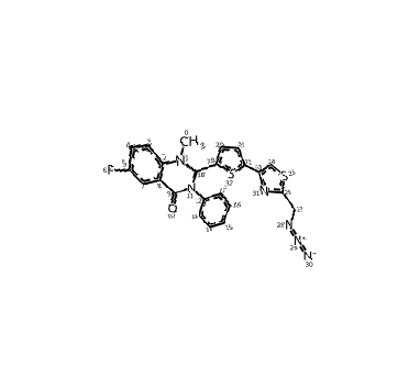 CN1c2ccc(F)cc2C(=O)N(c2ccccc2)C1c1ccc(-c2csc(CN=[N+]=[N-])n2)s1